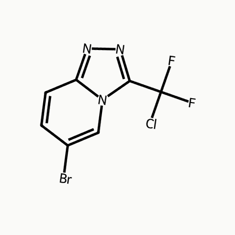 FC(F)(Cl)c1nnc2ccc(Br)cn12